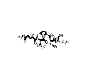 CC(C)C[C@H](NC(=O)[C@@H]1CCCN1C(=O)[C@H](CC(=O)O)NC(=O)[C@@H](N)CCC(N)=O)C(=O)N[C@@H](CS)C(=O)O